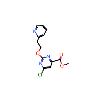 COC(=O)c1cc(Cl)nc(OCCc2ccccn2)n1